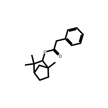 CC12CCC(C1)C(C)(C)C2OC(=O)Cc1ccccc1